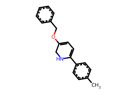 Cc1ccc(C2=CC=C(OCc3ccccc3)CN2)cc1